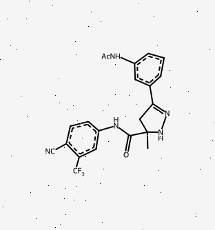 CC(=O)Nc1cccc(C2=NNC(C)(C(=O)Nc3ccc(C#N)c(C(F)(F)F)c3)C2)c1